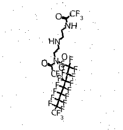 O=C(NCCNCCN(C(=O)C(F)(F)F)S(=O)(=O)C(F)(F)C(F)(F)C(F)(F)C(F)(F)C(F)(F)C(F)(F)C(F)(F)C(F)(F)F)C(F)(F)F